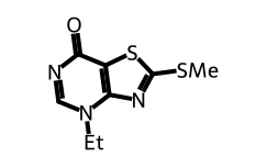 CCn1cnc(=O)c2sc(SC)nc21